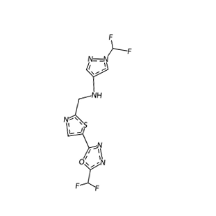 FC(F)c1nnc(-c2cnc(CNc3cnn(C(F)F)c3)s2)o1